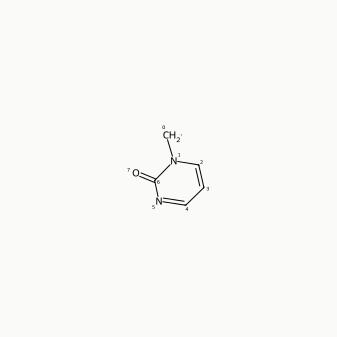 [CH2]n1cccnc1=O